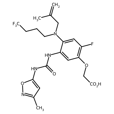 C=C(C)CN(CCCC(F)(F)F)c1cc(F)c(OCC(=O)O)cc1NC(=O)Nc1cc(C)no1